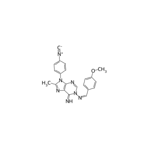 [C-]#[N+]c1ccc(-n2c(C)nc3c(=N)n(/N=C\c4ccc(OC)cc4)cnc32)cc1